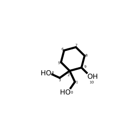 OCC1(CO)CCCCC1O